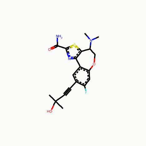 CN(C)C1COc2cc(F)c(C#CC(C)(C)O)cc2-c2nc(C(N)=O)sc21